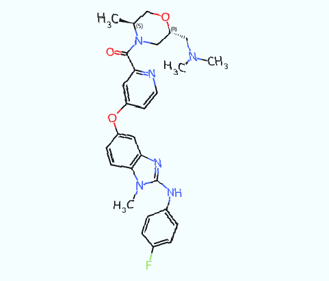 C[C@H]1CO[C@H](CN(C)C)CN1C(=O)c1cc(Oc2ccc3c(c2)nc(Nc2ccc(F)cc2)n3C)ccn1